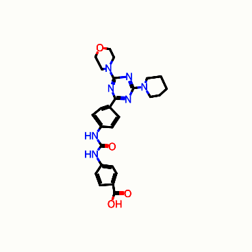 O=C(Nc1ccc(C(=O)O)cc1)Nc1ccc(-c2nc(N3CCCCC3)nc(N3CCOCC3)n2)cc1